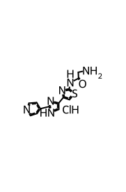 Cl.NCC(=O)Nc1nc(-c2c[nH]c(-c3ccncc3)n2)cs1